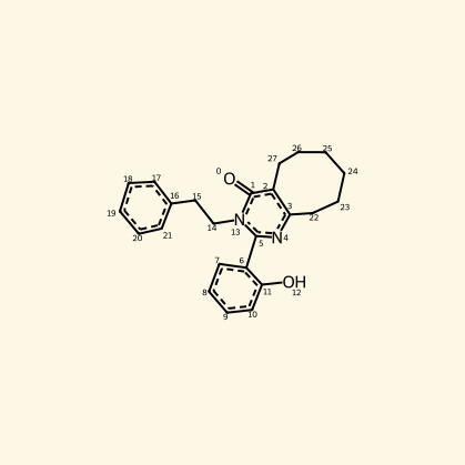 O=c1c2c(nc(-c3ccccc3O)n1CCc1ccccc1)CCCCCC2